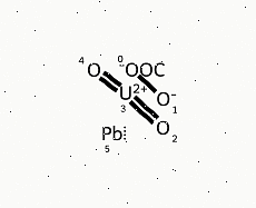 O=C([O-])[O-].[O]=[U+2]=[O].[Pb]